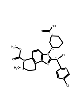 COC(=O)N1c2ccc3c(nc([C@@H](O)c4ccc(Cl)cn4)n3[C@@H]3CCC[C@@H](C(=O)O)C3)c2CC[C@@H]1C